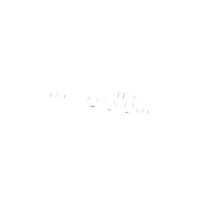 CCCCC1CCC(c2ccc(-c3ccc(-c4ccc(CCC)c(F)c4F)c(F)c3)cc2)CC1